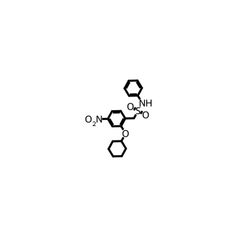 O=[N+]([O-])c1ccc(CS(=O)(=O)Nc2ccccc2)c(OC2CCCCC2)c1